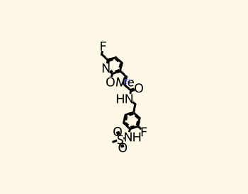 COc1nc(CF)ccc1/C=C/C(=O)NCc1ccc(NS(C)(=O)=O)c(F)c1